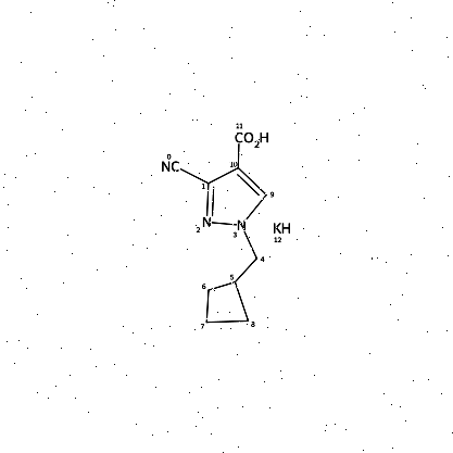 N#Cc1nn(CC2CCC2)cc1C(=O)O.[KH]